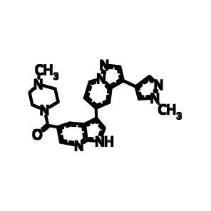 CN1CCN(C(=O)c2cnc3[nH]cc(-c4ccn5ncc(-c6cnn(C)c6)c5c4)c3c2)CC1